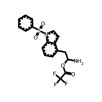 NC(Cc1cccc2c1ccn2S(=O)(=O)c1ccccc1)OC(=O)C(F)(F)F